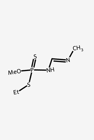 CCSP(=S)(N/C=N/C)OC